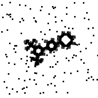 FC(F)(F)c1cc(-c2ccc(/C3=C/C=C\C=C/CC3)cc2)cc(C(F)(F)F)c1